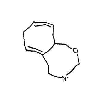 C1=CC2OC[N]CC2=CC1